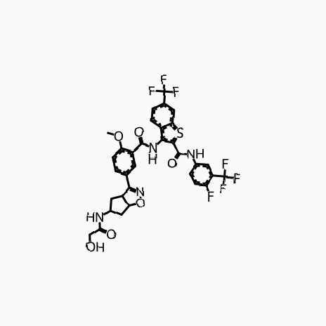 COc1ccc(C2=NOC3CC(NC(=O)CO)CC23)cc1C(=O)Nc1c(C(=O)Nc2ccc(F)c(C(F)(F)F)c2)sc2cc(C(F)(F)F)ccc12